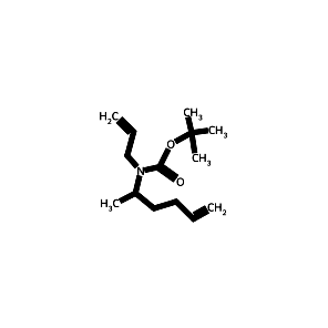 C=CCCC(C)N(CC=C)C(=O)OC(C)(C)C